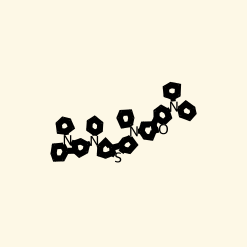 c1ccc(N(c2ccccc2)c2ccc3c(c2)oc2ccc(N(c4ccccc4)c4ccc5sc6ccc(N(c7ccccc7)c7ccc8c9ccccc9n(-c9ccccc9)c8c7)cc6c5c4)cc23)cc1